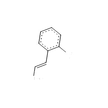 CCCC(C)C=Cc1ccccc1OC(C)=O